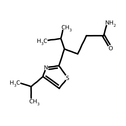 CC(C)c1csc(C(CCC(N)=O)C(C)C)n1